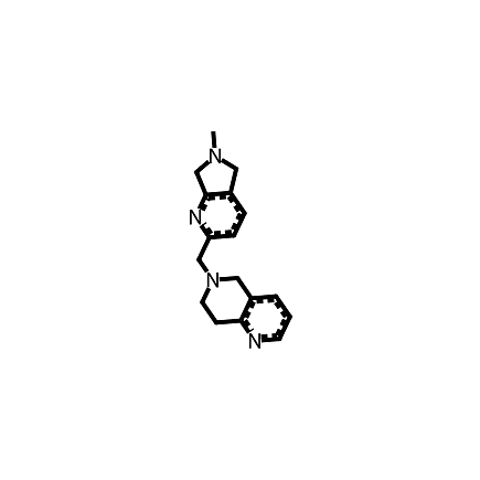 CN1Cc2ccc(CN3CCc4ncccc4C3)nc2C1